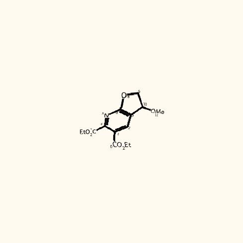 CCOC(=O)c1cc2c(nc1C(=O)OCC)OCC2OC